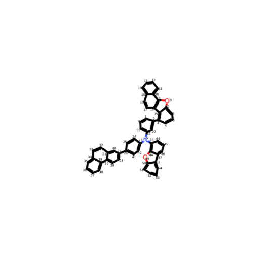 c1cc(-c2cccc3oc4c5ccccc5ccc4c23)cc(N(c2ccc(-c3ccc4c(ccc5ccccc54)c3)cc2)c2cccc3c2oc2ccccc23)c1